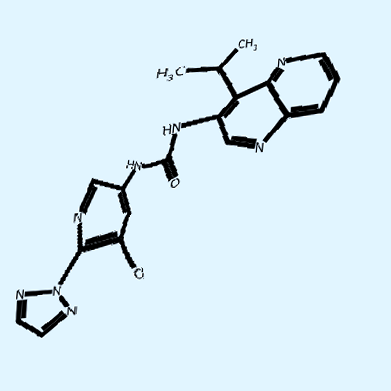 CC(C)c1c(NC(=O)Nc2cnc(-n3nccn3)c(Cl)c2)cnc2cccnc12